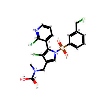 CN(Cc1cn(S(=O)(=O)c2cccc(CCl)c2)c(-c2cccnc2F)c1F)C(=O)O